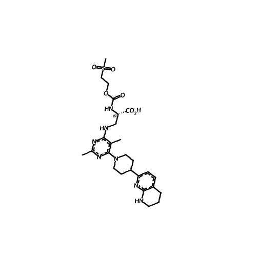 Cc1nc(NC[C@H](NC(=O)OCCS(C)(=O)=O)C(=O)O)c(C)c(N2CCC(c3ccc4c(n3)NCCC4)CC2)n1